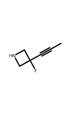 CC#CC1(F)CNC1